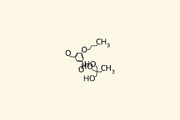 CCC(CO)(CO)CO.CCCCOc1cc(C=O)cc(C=O)c1